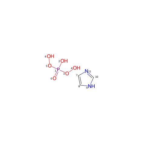 O=P(O)(OO)OO.c1c[nH]cn1